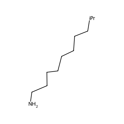 CC(C)CCCCCCCCN